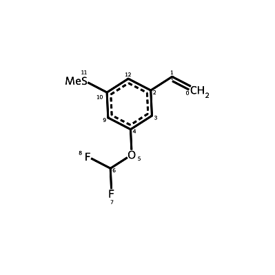 C=[C]c1cc(OC(F)F)cc(SC)c1